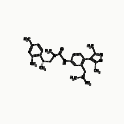 BN(C)Cc1cc(NC(=O)N(C)C[C@H](C)c2ccc(C)cc2C)ccc1-c1c(C)noc1C